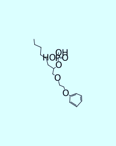 CCCCCCC(COCCOc1ccccc1)OP(=O)(O)O